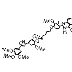 COc1cc(C2NC(=O)c3cc(C)ccc3N2)ccc1OCCCCCCOc1c(OC)cc(-c2cc(-c3cc(OC)c(OC)c(OC)c3)on2)cc1OC